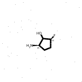 N[C@@H]1CC[C@H](F)C1O